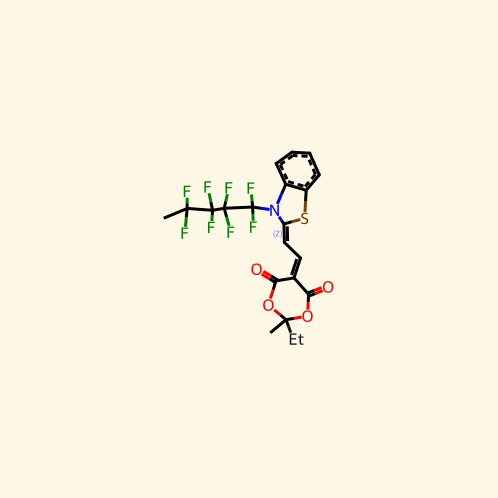 CCC1(C)OC(=O)C(=C/C=C2\Sc3ccccc3N2C(F)(F)C(F)(F)C(F)(F)C(C)(F)F)C(=O)O1